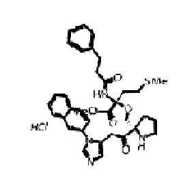 COC(=O)[C@](CCSC)(NC(=O)CCc1ccccc1)OC[C@]1(C(=O)Cc2cncn2-c2ccc3ccccc3c2)CCCN1.Cl